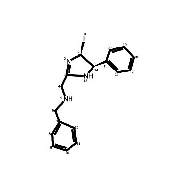 I[C@@H]1N=C(CNCc2ccccc2)N[C@@H]1c1ccccc1